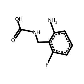 Nc1cccc(F)c1CNC(=O)O